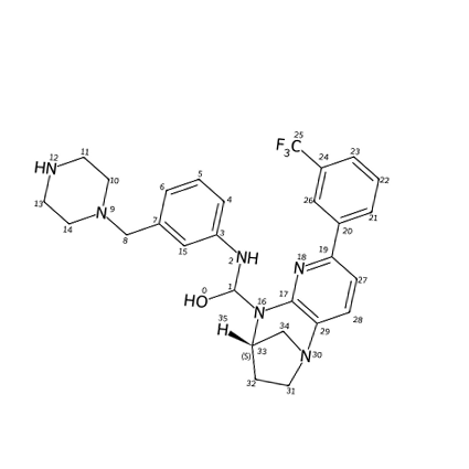 OC(Nc1cccc(CN2CCNCC2)c1)N1c2nc(-c3cccc(C(F)(F)F)c3)ccc2N2CC[C@H]1C2